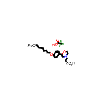 COCCCCCCCOc1ccc(C2CN(CCC(=O)O)CCO2)cc1.O=C(O)C(F)(F)F